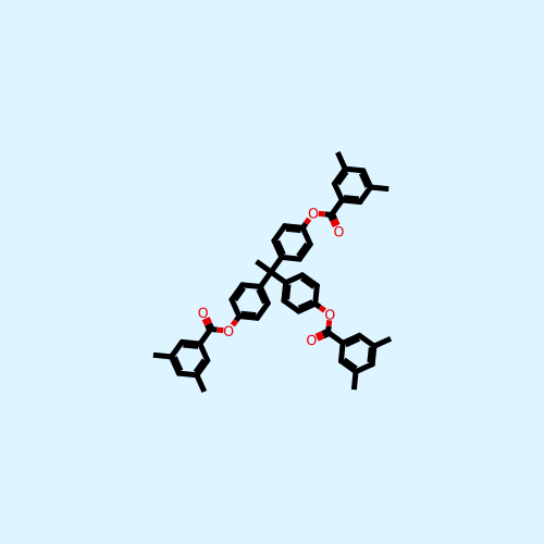 Cc1cc(C)cc(C(=O)Oc2ccc(C(C)(c3ccc(OC(=O)c4cc(C)cc(C)c4)cc3)c3ccc(OC(=O)c4cc(C)cc(C)c4)cc3)cc2)c1